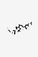 Cc1cc(-c2cncc(SC(C)C)c2)nc2c1C(=O)N(c1cnn(CC(F)(F)F)c1)C2(C)C